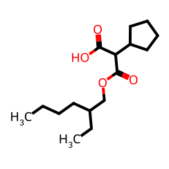 CCCCC(CC)COC(=O)C(C(=O)O)C1CCCC1